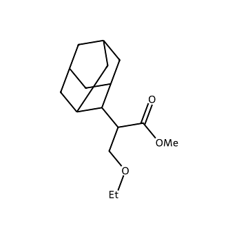 CCOCC(C(=O)OC)C1C2CC3CC(C2)CC1C3